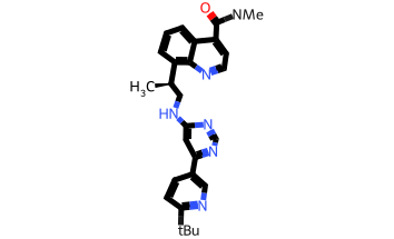 CNC(=O)c1ccnc2c([C@H](C)CNc3cc(-c4ccc(C(C)(C)C)nc4)ncn3)cccc12